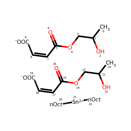 CC(O)COC(=O)/C=C\C(=O)[O-].CC(O)COC(=O)/C=C\C(=O)[O-].CCCCCCC[CH2][Sn+2][CH2]CCCCCCC